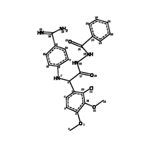 COc1ccc(C(Nc2ccc(C(=N)N)cc2)C(=O)NNC(=O)c2ccccc2)c(Cl)c1OC